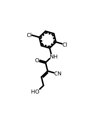 N#C/C(=C\CO)C(=O)Nc1cc(Cl)ccc1Cl